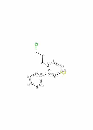 ClCCCc1ccccc1-c1ccccc1.S